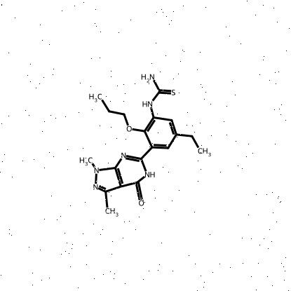 CCCOc1c(NC(N)=S)cc(CC)cc1-c1nc2c(c(C)nn2C)c(=O)[nH]1